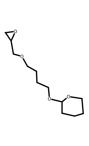 C(CCOC1CCCCO1)COCC1CO1